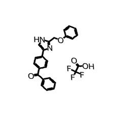 O=C(O)C(F)(F)F.O=C(c1ccccc1)c1ccc(-c2c[nH]c(COc3ccccc3)n2)cc1